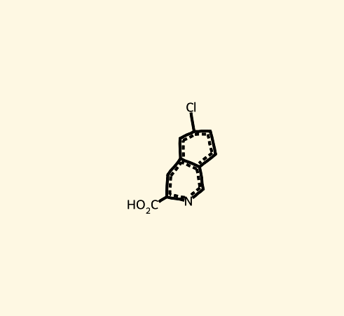 O=C(O)c1cc2cc(Cl)ccc2cn1